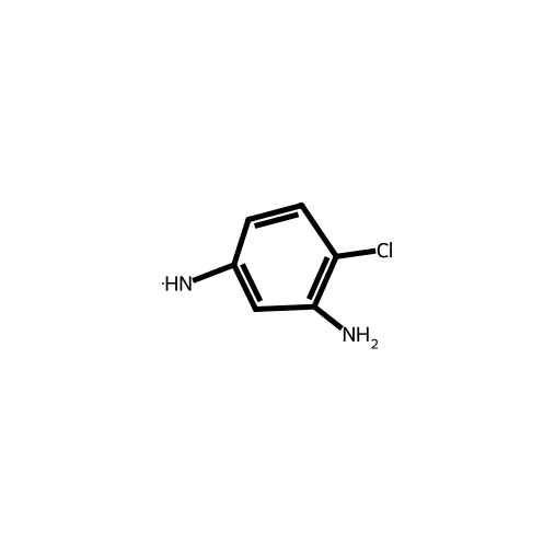 [NH]c1ccc(Cl)c(N)c1